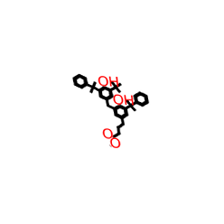 COC(=O)CCCc1cc(Cc2cc(C(C)(C)C)c(O)c(C(C)(C)c3ccccc3)c2)c(O)c(C(C)(C)c2ccccc2)c1